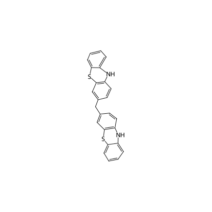 c1ccc2c(c1)Nc1ccc(Cc3ccc4c(c3)Sc3ccccc3N4)cc1S2